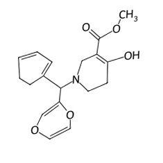 COC(=O)C1=C(O)CCN(C(C2=CC=CCC2)C2=COC=CO2)C1